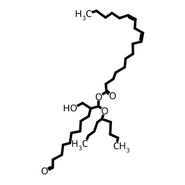 CCCCC/C=C\C/C=C\CCCCCCCC(=O)OC(OC(CCCC)CCCC)C(CO)CCCCCCCCC=O